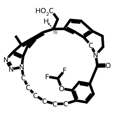 Cc1c2ccc3c1nnn3CCCCCCc1ccc(cc1OC(F)F)C(=O)N1CCc3ccc(cc3C1)[C@@H]2CC(=O)O